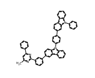 Cc1cc(-c2ccccc2)nc(-c2cccc(-c3ccc4c(c3)c3ccccc3n4-c3ccc(-c4ccc5c6ccccc6n(-c6ccccc6)c5c4)cc3)c2)n1